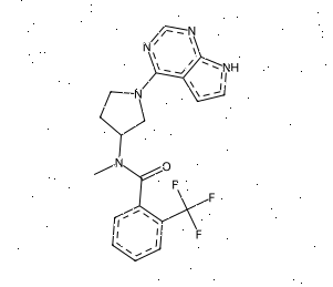 CN(C(=O)c1ccccc1C(F)(F)F)C1CCN(c2ncnc3[nH]ccc23)C1